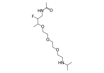 CC(=O)NCC(F)C(C)OCCOCCOCCNC(C)C